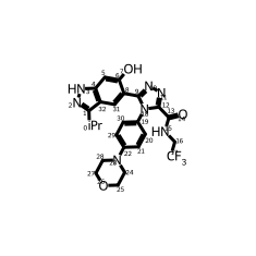 CC(C)c1n[nH]c2cc(O)c(-c3nnc(C(=O)NCC(F)(F)F)n3-c3ccc(N4CCOCC4)cc3)cc12